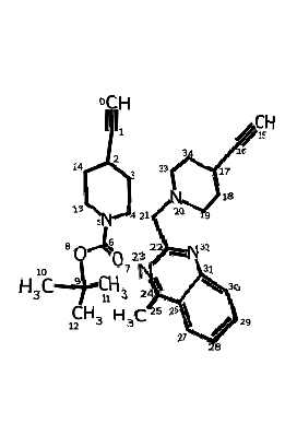 C#CC1CCN(C(=O)OC(C)(C)C)CC1.C#CC1CCN(Cc2nc(C)c3ccccc3n2)CC1